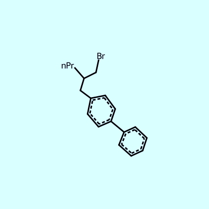 CCCC(CBr)Cc1ccc(-c2ccccc2)cc1